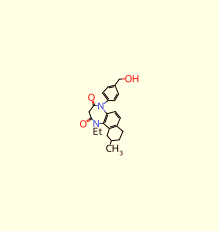 CCN1C(=O)CC(=O)N(c2ccc(CO)cc2)c2ccc3c(c21)CC(C)CC3